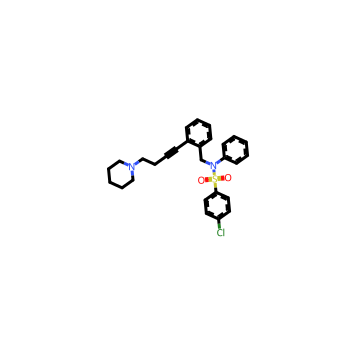 O=S(=O)(c1ccc(Cl)cc1)N(Cc1ccccc1C#CCCN1CCCCC1)c1ccccc1